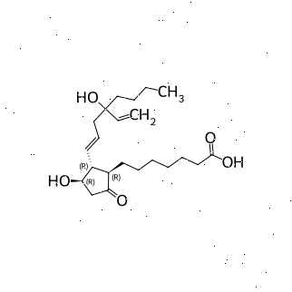 C=CC(O)(CC=C[C@H]1[C@H](O)CC(=O)[C@@H]1CCCCCCC(=O)O)CCCC